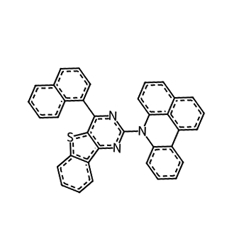 c1ccc2c(c1)-c1cccc3cccc(c13)N2c1nc(-c2cccc3ccccc23)c2sc3ccccc3c2n1